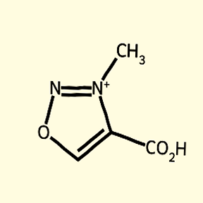 C[n+]1nocc1C(=O)O